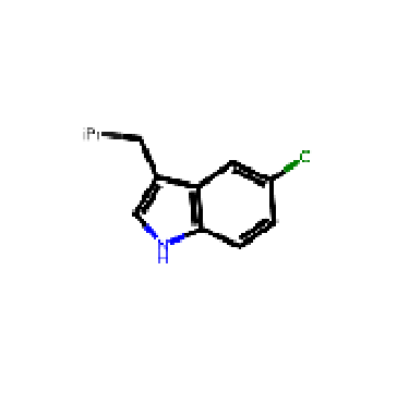 CC(C)Cc1c[nH]c2ccc(Cl)cc12